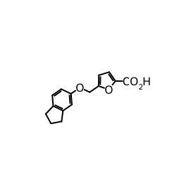 O=C(O)c1ccc(COc2ccc3c(c2)CCC3)o1